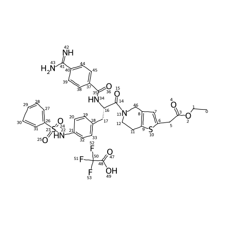 CCOC(=O)Cc1cc2c(s1)CCN(C(=O)[C@H](Cc1ccc(NS(=O)(=O)c3ccccc3)cc1)NC(=O)c1ccc(C(=N)N)cc1)C2.O=C(O)C(F)(F)F